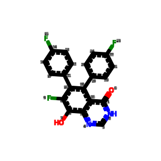 O=c1[nH]cnc2c(O)c(F)c(-c3ccc(F)cc3)c(-c3ccc(F)cc3)c12